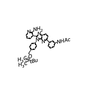 CC(=O)Nc1cccc(-c2ccc3nc(-c4cccnc4N)n(-c4ccc(CO[Si](C)(C)C(C)(C)C)cc4)c3n2)c1